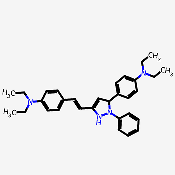 CCN(CC)c1ccc(C=CC2=CC(c3ccc(N(CC)CC)cc3)N(c3ccccc3)N2)cc1